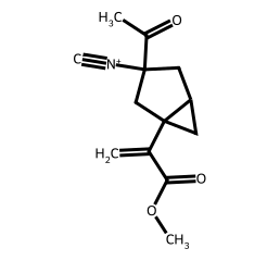 [C-]#[N+]C1(C(C)=O)CC2CC2(C(=C)C(=O)OC)C1